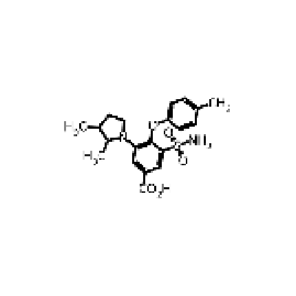 Cc1ccc(Oc2c(N3CCC(C)C3C)cc(C(=O)O)cc2S(N)(=O)=O)cc1